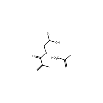 C=C(C)C(=O)O.C=C(C)C(=O)OCC(O)CC